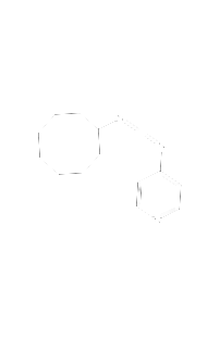 C(=Nc1ccncc1)=NC1CCCCCCC1